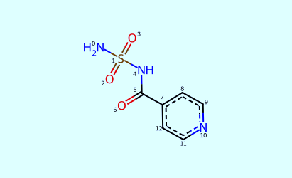 NS(=O)(=O)NC(=O)c1ccncc1